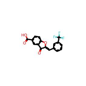 O=C(O)c1ccc2c(c1)C(=O)/C(=C/c1cccc(C(F)(F)F)c1)O2